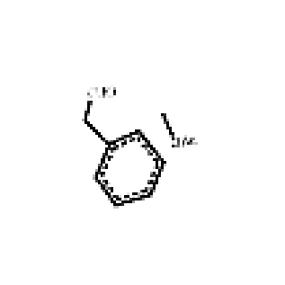 COC(C)=O.O=CCc1ccccc1